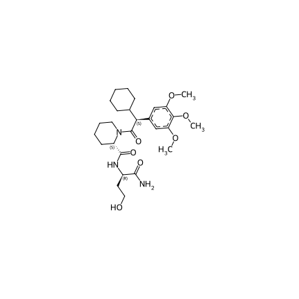 COc1cc([C@@H](C(=O)N2CCCC[C@H]2C(=O)N[C@H](CCO)C(N)=O)C2CCCCC2)cc(OC)c1OC